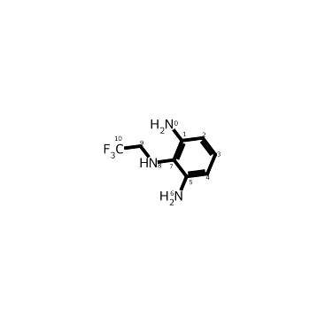 Nc1cccc(N)c1NCC(F)(F)F